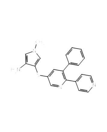 Cn1cc(N)c(Sc2cnc(-c3ccncc3)c(-c3ccccc3)c2)c1